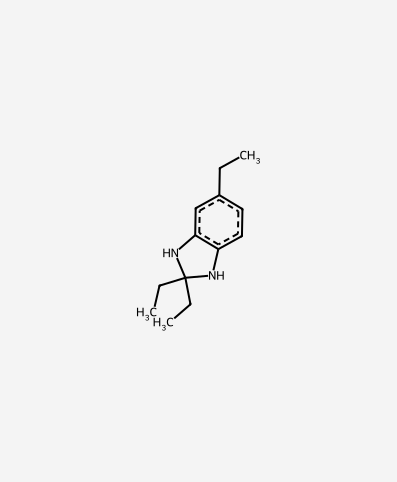 CCc1ccc2c(c1)NC(CC)(CC)N2